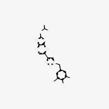 CCC(Sc1nc2ncc(-c3cn(Cc4cc(Cl)c(Cl)c(Cl)c4)nn3)nc2s1)C(=O)O